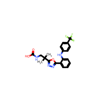 CC(C)(CNC(=O)O)c1nnc(-c2ccccc2Nc2ccc(C(F)(F)F)cc2)o1